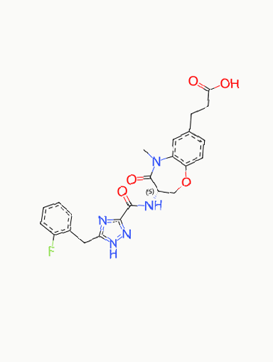 CN1C(=O)[C@@H](NC(=O)c2n[nH]c(Cc3ccccc3F)n2)COc2ccc(CCC(=O)O)cc21